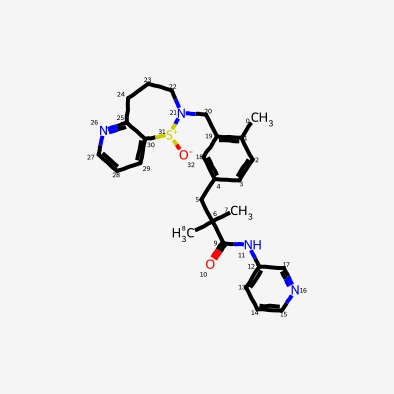 Cc1ccc(CC(C)(C)C(=O)Nc2cccnc2)cc1CN1CCCc2ncccc2[S+]1[O-]